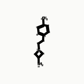 Cc1ccc(CCN2CC(N)C2)cc1